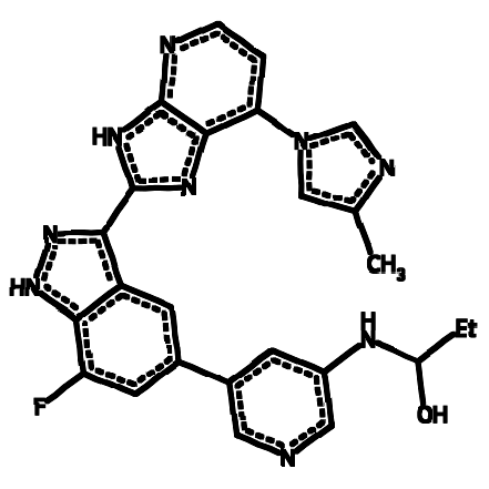 CCC(O)Nc1cncc(-c2cc(F)c3[nH]nc(-c4nc5c(-n6cnc(C)c6)ccnc5[nH]4)c3c2)c1